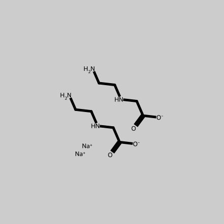 NCCNCC(=O)[O-].NCCNCC(=O)[O-].[Na+].[Na+]